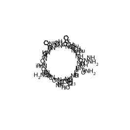 CCCC[C@H]1C(=O)N(C)[C@@H](CCCC)C(=O)N[C@@H](CCCNC(=N)N)C(=O)NC(C(=O)NCC(N)=O)CSCC(=O)N[C@@H](Cc2ccc(O)cc2)C(=O)N(C)[C@@H](C)C(=O)N[C@@H](CC(N)=O)C(=O)N2CCC[C@H]2C(=O)N[C@@H](CC(N)=O)C(=O)N[C@@H](CC(C)C)C(=O)N2CCC[C@H]2C(=O)N[C@@H](Cc2c[nH]c3ccccc23)C(=O)N[C@@H](CO)C(=O)N[C@@H](Cc2csc3ccccc23)C(=O)N1C